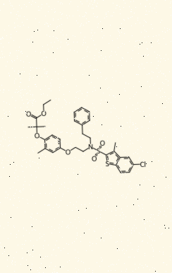 CCOC(=O)C(C)(C)Oc1ccc(OCCN(CCc2ccccc2)S(=O)(=O)c2sc3ccc(Cl)cc3c2C)cc1C